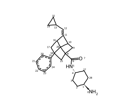 N[C@H]1CC[C@H](NC(=O)C23CC4/C(=C/C5CC5)C5CC(c6ccccc6)(C2)C453)CC1